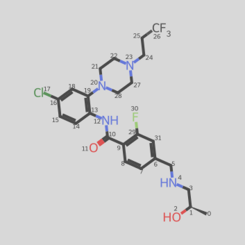 C[C@@H](O)CNCc1ccc(C(=O)Nc2ccc(Cl)cc2N2CCN(CCC(F)(F)F)CC2)c(F)c1